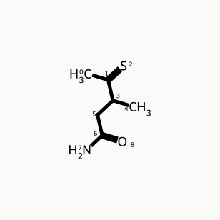 CC(=S)C(C)CC(N)=O